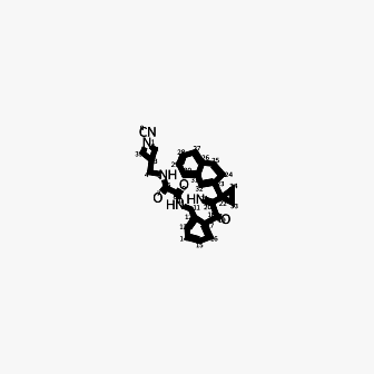 N#CN1CC(CNC(=O)C(=O)NCc2ccccc2C(=O)C(=N)C2(c3ccc4ccccc4c3)CC2)C1